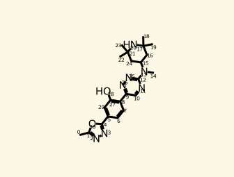 Cc1nnc(-c2ccc(-c3cnc(N(C)C4CC(C)(C)NC(C)(C)C4)nn3)c(O)c2)o1